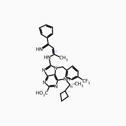 C/C(=C/C(=N)c1ccccc1)Nc1nc2nc(C(=O)O)nc(N[C@H](C)C3CCC3)c2n1Cc1ccc(C(F)(F)F)cc1